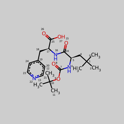 CC(C)(C)C[C@@H](NC(=O)OC(C)(C)C)C(=O)N[C@@H](Cc1ccncc1)C(=O)O